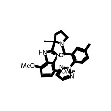 COc1ccc(OC)c2[nH]c([C@]3(C)CCCN3C(=O)c3cc(C)ccc3-n3nccn3)nc12